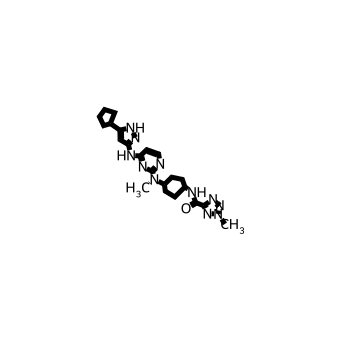 CN(c1nccc(Nc2cc(C3CCCC3)[nH]n2)n1)C1CCC(NC(=O)c2nnn(C)n2)CC1